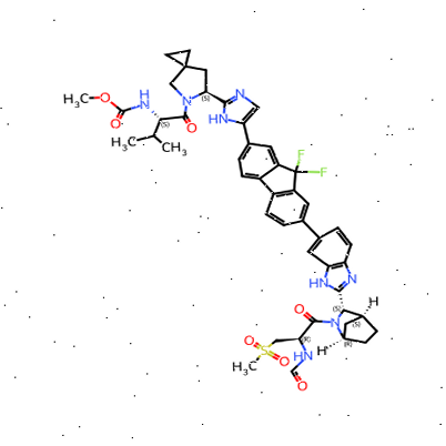 COC(=O)N[C@H](C(=O)N1CC2(CC2)C[C@H]1c1ncc(-c2ccc3c(c2)C(F)(F)c2cc(-c4ccc5nc([C@@H]6[C@H]7CC[C@H](C7)N6C(=O)[C@H](CS(C)(=O)=O)NC=O)[nH]c5c4)ccc2-3)[nH]1)C(C)C